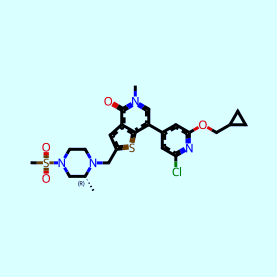 C[C@@H]1CN(S(C)(=O)=O)CCN1Cc1cc2c(=O)n(C)cc(-c3cc(Cl)nc(OCC4CC4)c3)c2s1